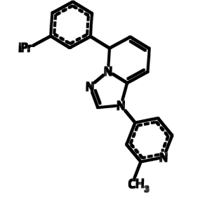 Cc1cc(N2C=NN3C2=CC=CC3c2cccc(C(C)C)c2)ccn1